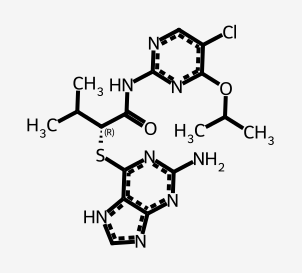 CC(C)Oc1nc(NC(=O)[C@H](Sc2nc(N)nc3nc[nH]c23)C(C)C)ncc1Cl